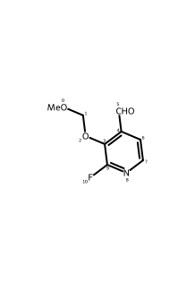 COCOc1c(C=O)ccnc1F